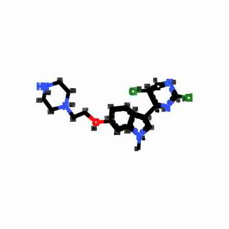 Cn1cc(-c2nc(Cl)ncc2Cl)c2ccc(OCCN3CCNCC3)cc21